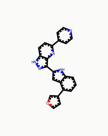 c1cc(-c2ccoc2)c2cc(-c3n[nH]c4ccc(-c5ccncc5)nc34)[nH]c2c1